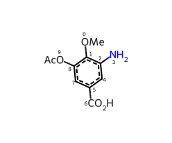 COc1c(N)cc(C(=O)O)cc1OC(C)=O